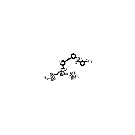 Cc1cccc(C(=O)Nc2cccc(C#Cc3cncc(C(=O)N=[SH](O)(CCCO[Si](C)(C)C(C)(C)C)CCCO[Si](C)(C)C(C)(C)C)c3)c2)c1